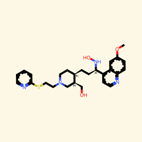 COc1ccc2nccc([C@@H](CC[C@@H]3CCN(CCSc4ccccn4)C[C@@H]3CO)NO)c2c1